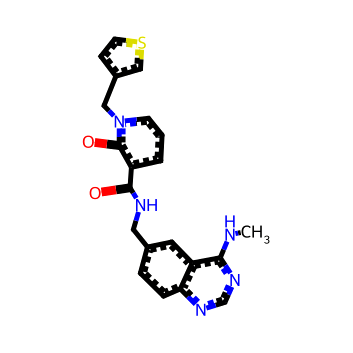 CNc1ncnc2ccc(CNC(=O)c3cccn(Cc4ccsc4)c3=O)cc12